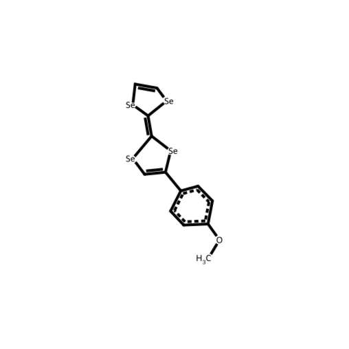 COc1ccc(C2=C[Se]C(=C3[Se]C=C[Se]3)[Se]2)cc1